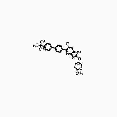 C[C@@H]1CC[C@@H](Oc2nc3nc(-c4ccc(-c5ccc(C(C)(C)O)cc5)cc4)c(Cl)cc3[nH]2)CO1